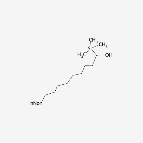 CCCCCCCCCCCCCCCCCC(O)[Si](C)(C)C